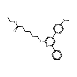 CCOC(=O)CCCCCOc1cc(-c2ccc(SC)cc2)cc(-c2ccccc2)n1